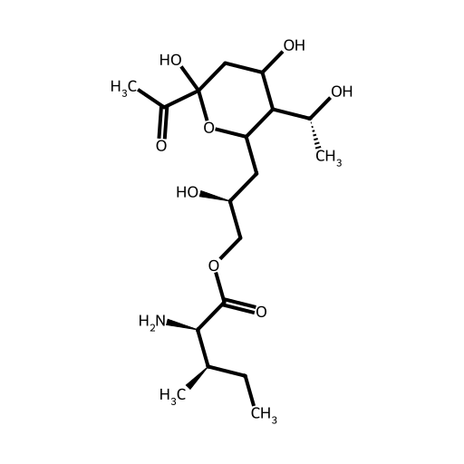 CC[C@@H](C)[C@@H](N)C(=O)OC[C@@H](O)CC1OC(O)(C(C)=O)CC(O)C1[C@@H](C)O